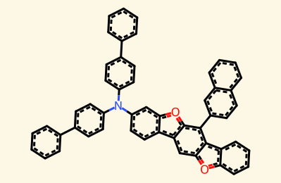 c1ccc(-c2ccc(N(c3ccc(-c4ccccc4)cc3)c3ccc4c(c3)oc3c(-c5ccc6ccccc6c5)c5c(cc34)oc3ccccc35)cc2)cc1